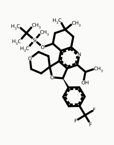 CC(O)c1nc2c(c3c1[C@@H](c1ccc(C(F)(F)F)cc1)OC31CCOCC1)C(O[Si](C)(C)C(C)(C)C)CC(C)(C)C2